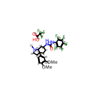 COc1ccc(C23CCC(NC(=O)Nc4c(F)c(F)c(F)c(F)c4F)CC2N(C)CC3)cc1OC.O=C(O)C(F)(F)F